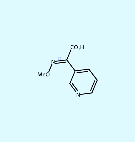 CO/N=C(/C(=O)O)c1cccnc1